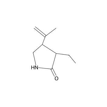 C=C(C)C1CNC(=O)C1CC